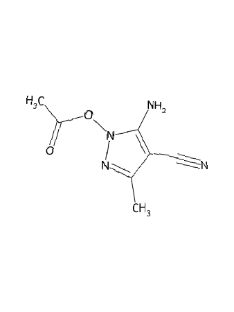 CC(=O)On1nc(C)c(C#N)c1N